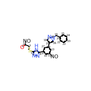 O=NC(=O)CSc1nnc(-c2cc(N=O)cc(-c3cnn(Cc4ccccc4)c3)c2)[nH]1